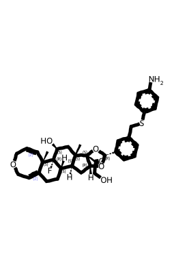 C[C@]12/C=C\COC/C=C\1CC[C@H]1[C@@H]3C[C@H]4O[C@@H](c5cccc(CSc6ccc(N)cc6)c5)O[C@@]4(C(=O)CO)[C@@]3(C)C[C@H](O)[C@@]12F